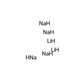 [LiH].[LiH].[NaH].[NaH].[NaH].[NaH]